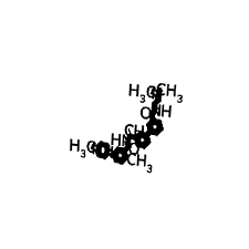 Cc1ccc(N2CCN(C)CC2)cc1C(=O)N[C@H](C)c1cccc(-c2cccc(C(=O)NCCN(C)C)c2)c1